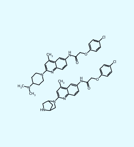 Cc1cc(N2CC3CC2CN3)nc2ccc(NC(=O)COc3ccc(Cl)cc3)cc12.Cc1cc(N2CCC(N(C)C)CC2)nc2ccc(NC(=O)COc3ccc(Cl)cc3)cc12